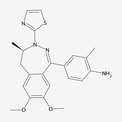 COc1cc2c(cc1OC)C(c1ccc(N)c(C)c1)=NN(c1nccs1)[C@H](C)C2